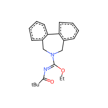 CCOC(=NC(=O)C(C)(C)C)N1Cc2ccccc2-c2ccccc2C1